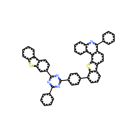 c1ccc(-c2nc(-c3ccc(-c4cccc5c4sc4c5ccc5c(-c6ccccc6)nc6ccccc6c54)cc3)nc(-c3ccc4c(c3)sc3ccccc34)n2)cc1